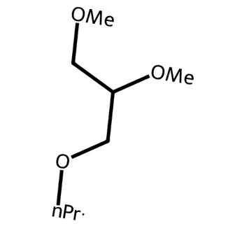 CC[CH]OCC(COC)OC